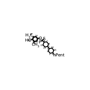 CCCCCC1CCC(C2CCC(C(F)(F)Oc3cc(C)c(O)c(C)c3)CC2)CC1